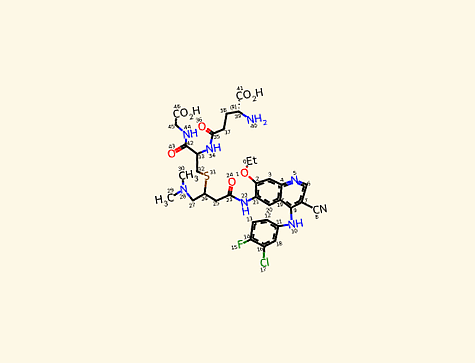 CCOc1cc2ncc(C#N)c(Nc3ccc(F)c(Cl)c3)c2cc1NC(=O)CC(CN(C)C)SCC(NC(=O)CC[C@@H](N)C(=O)O)C(=O)NCC(=O)O